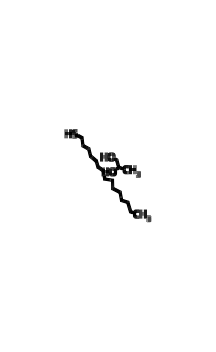 CC(O)CO.CCCCCCCCCCCCCCCS